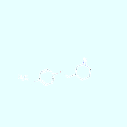 COc1ccc(OCC2CCCNC2)cc1